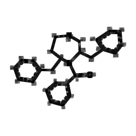 O=C(c1ccccc1)N1C(Cc2ccccc2)CC[N]CC1Cc1ccccc1